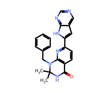 CC1(C)NC(=O)c2ccc(-c3cc4cncnc4[nH]3)nc2N1Cc1ccccc1